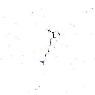 N=C(N)NCCNCCc1ocnc1C(F)(F)F